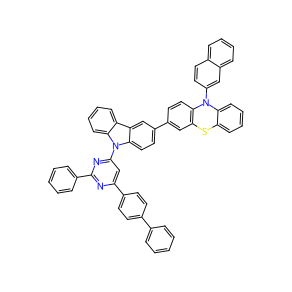 c1ccc(-c2ccc(-c3cc(-n4c5ccccc5c5cc(-c6ccc7c(c6)Sc6ccccc6N7c6ccc7ccccc7c6)ccc54)nc(-c4ccccc4)n3)cc2)cc1